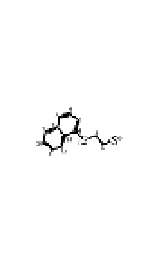 [S]CCSc1cccc2ccccc12